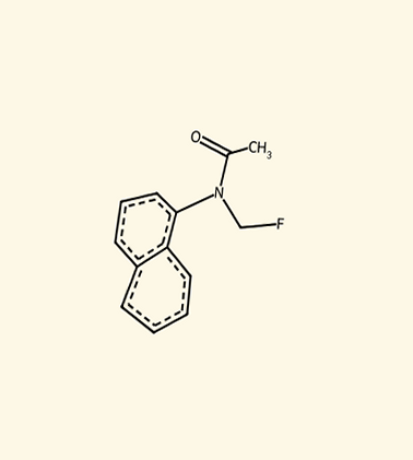 CC(=O)N(CF)c1cccc2ccccc12